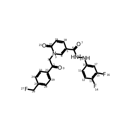 O=C(Cn1cc(C(=O)NNc2ccc(F)c(F)c2)ccc1=O)c1ccc(CF)cc1